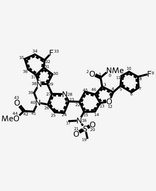 CNC(=O)c1c(-c2ccc(F)cc2)oc2cc(N(C)S(C)(=O)=O)c(-c3ccc4c(n3)-c3cc5c(F)cccc5n3CN4CC(=O)OC)cc12